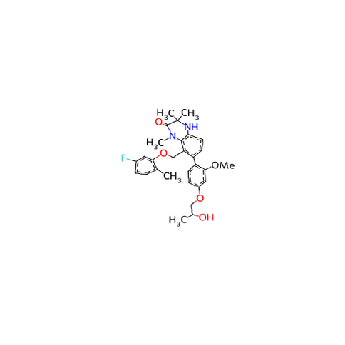 COc1cc(OCC(C)O)ccc1-c1ccc2c(c1COc1cc(F)ccc1C)N(C)C(=O)C(C)(C)N2